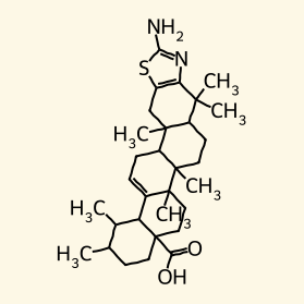 CC1CCC2(C(=O)O)CCC3(C)C(=CCC4C5(C)Cc6sc(N)nc6C(C)(C)C5CCC43C)C2C1C